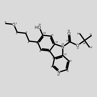 COCCCc1cc2c3cnccc3n(C(=O)OC(C)(C)C)c2cc1O